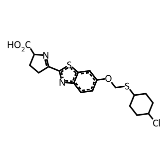 O=C(O)C1CCC(c2nc3ccc(OCSC4CCC(Cl)CC4)cc3s2)=N1